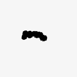 c1ccc2cc(-c3ccc4oc5c(ccc6c7cc(-c8cccc9c(-c%10cc%11ccccc%11c%11ccccc%10%11)cccc89)ccc7oc65)c4c3)ccc2c1